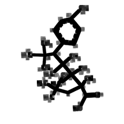 CC(C)(C)CC(C)(C(=O)O)C(C)(C)C(C)(C)C(c1ccc(O)cc1)C(C)(C)C